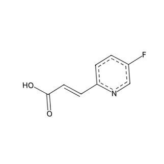 O=C(O)C=Cc1ccc(F)cn1